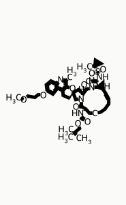 COCCCOc1ccc2nc(C)c3c(c2c1)CC[C@]1(C[C@H]2C(=O)N[C@]4(C(=O)NS(=O)(=O)C5(C)CC5)C[C@H]4/C=C\CCCCC[C@H](NC(=O)OCC(C)(C)C)C(=O)N2C1)O3